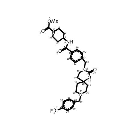 COC(=O)N1CCC(NC(=O)c2ccc(CN3CCC4(CCN(Cc5ccc(C(F)(F)F)cc5)CC4)OC3=O)cc2)CC1